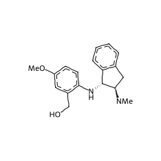 CN[C@@H]1Cc2ccccc2[C@H]1Nc1ccc(OC)cc1CO